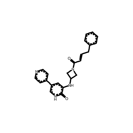 O=C(C=CCc1ccccc1)N1CC(Nc2cc(-c3ccncc3)c[nH]c2=O)C1